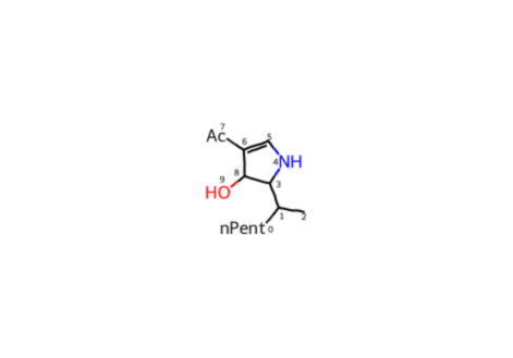 CCCCCC(C)C1NC=C(C(C)=O)C1O